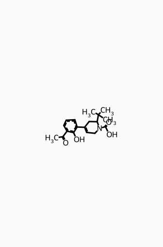 CC(=O)c1cccc(C2=CCN(C(=O)O)C(C(C)(C)C)C2)c1O